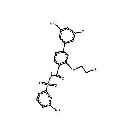 CC(C)COc1cc(F)cc(-c2ccc(C(=O)NS(=O)(=O)c3cccc(N)n3)c(OCCC(C)(C)C)n2)c1